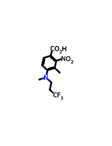 Cc1c(N(C)CCC(F)(F)F)ccc(C(=O)O)c1[N+](=O)[O-]